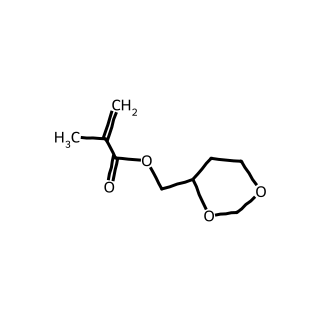 C=C(C)C(=O)OCC1CCOCO1